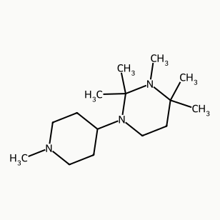 CN1CCC(N2CCC(C)(C)N(C)C2(C)C)CC1